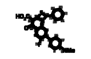 CNc1ccc(-c2cc3c(cc2F)c(=O)c(C(=O)O)c2n3C(c3ccccc3)S2)cc1